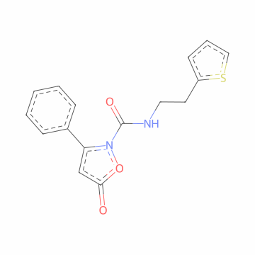 O=C(NCCc1cccs1)n1oc(=O)cc1-c1ccccc1